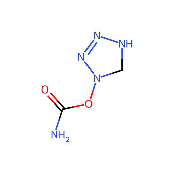 NC(=O)ON1CNN=N1